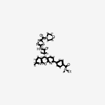 CCN(C)C(=O)c1ccc(-c2ccc3c(n2)Oc2nc(C)ccc2[C@@H]3C(C)(C)C(=O)Nc2nnc(C(=O)N3CCOCC3)s2)cc1